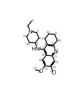 CCN1CCC(Nc2c3c(nc4cc(Cl)c(OC)cc24)CCCC3)CC1